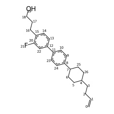 C=CCCC1CCC(c2ccc(-c3ccc(CCCO)c(F)c3)cc2)CC1